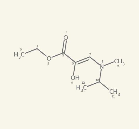 CCOC(=O)/C(O)=C/N(C)C(C)C